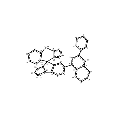 c1ccc(-c2nc(-c3ccc4c(c3)C3(c5ccccc5Sc5ccccc53)c3ccccc3-4)c3ccccc3n2)cc1